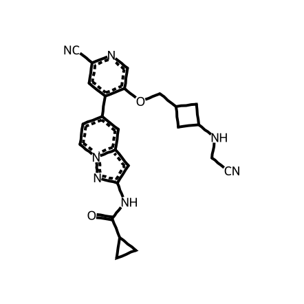 N#CCNC1CC(COc2cnc(C#N)cc2-c2ccn3nc(NC(=O)C4CC4)cc3c2)C1